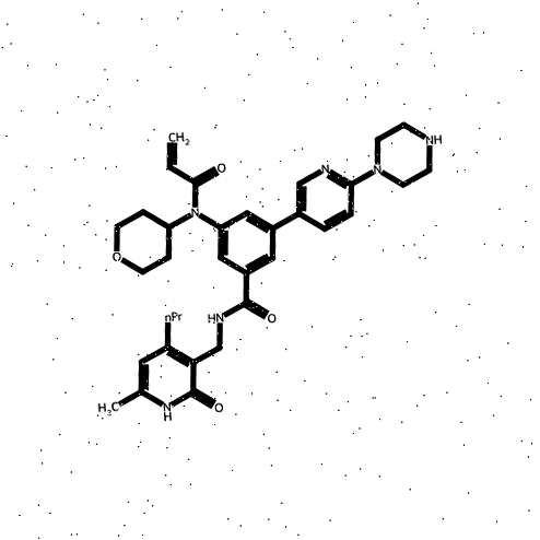 C=CC(=O)N(c1cc(C(=O)NCc2c(CCC)cc(C)[nH]c2=O)cc(-c2ccc(N3CCNCC3)nc2)c1)C1CCOCC1